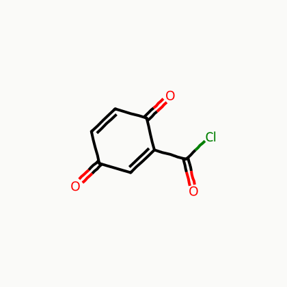 O=C1C=CC(=O)C(C(=O)Cl)=C1